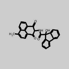 Cc1ccc2c3c(cccc13)C(=O)C(NC(=O)C1(O)c3ccccc3-c3ccccc31)C2=O